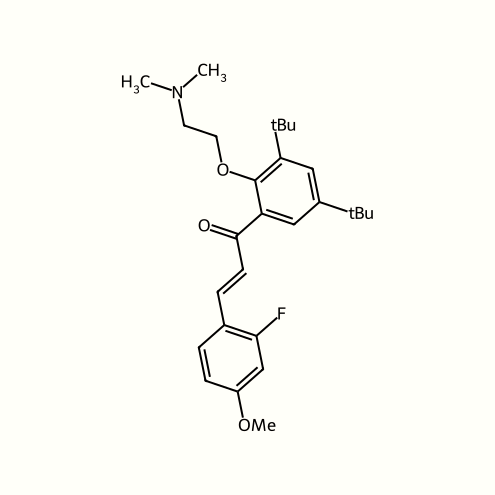 COc1ccc(C=CC(=O)c2cc(C(C)(C)C)cc(C(C)(C)C)c2OCCN(C)C)c(F)c1